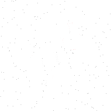 COc1cc(OC)cc(B(O)OC(=O)O)c1